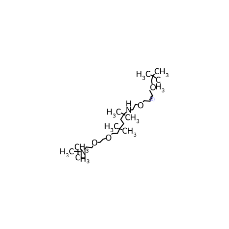 CC(C)(C)COC/C=C\COCCNC(C)(C)CCC(C)(C)CCOCCOCCNC(C)(C)C